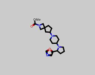 COC(=O)N1CC2(CCC(N3CCC(N4CCCC4c4cnco4)CC3)C2)C1